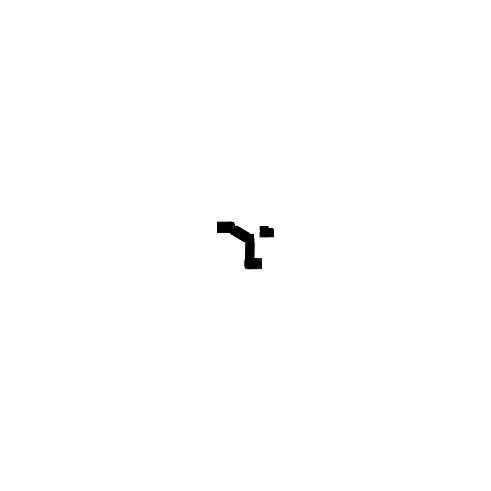 OSO.[Zn]